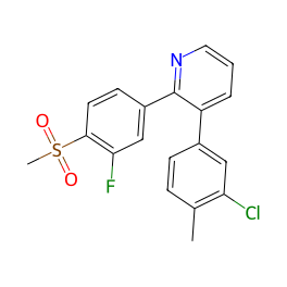 Cc1ccc(-c2cccnc2-c2ccc(S(C)(=O)=O)c(F)c2)cc1Cl